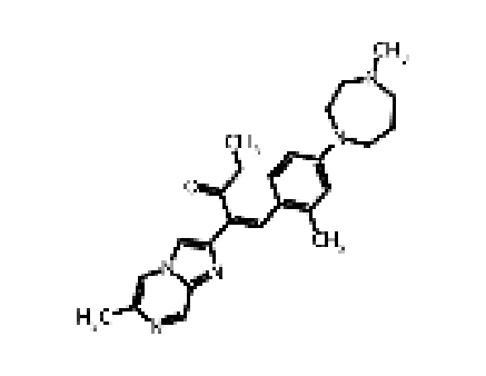 CCC(=O)/C(=C\c1ccc(N2CCCN(C)CC2)cc1C)c1cn2cc(C)ncc2n1